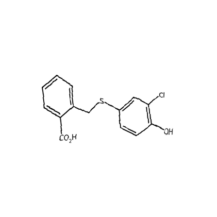 O=C(O)c1ccccc1CSc1ccc(O)c(Cl)c1